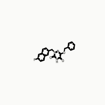 O=c1[nH]c(=O)n(Cc2ccc3cc(F)ccc3c2)nc1OCc1ccccc1